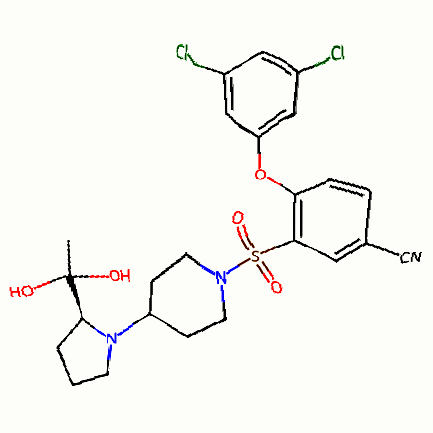 CC(O)(O)[C@@H]1CCCN1C1CCN(S(=O)(=O)c2cc(C#N)ccc2Oc2cc(Cl)cc(Cl)c2)CC1